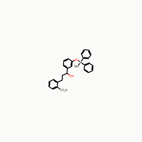 CC(C)(C)[Si](Oc1cccc(C(O)CCc2ccccc2C(=O)O)c1)(c1ccccc1)c1ccccc1